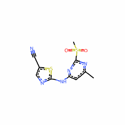 Cc1cc(Nc2ncc(C#N)s2)nc(S(C)(=O)=O)n1